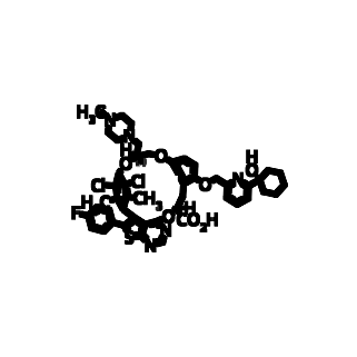 Cc1c(Cl)c2c(Cl)c(C)c1-c1c(-c3ccc(F)cc3)sc3ncnc(c13)O[C@@H](C(=O)O)Cc1cc(ccc1OCc1cccc(C3(O)CCCCC3)n1)OC[C@@H](CN1CCN(C)CC1)O2